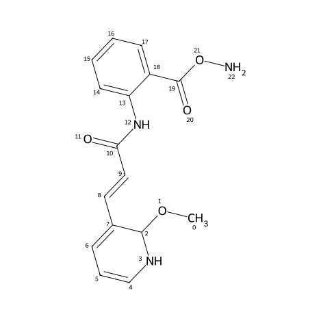 COC1NC=CC=C1/C=C/C(=O)Nc1ccccc1C(=O)ON